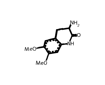 COc1cc2c(cc1OC)NC(=O)C(N)C2